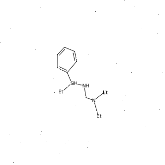 CCN(CC)CN[SiH](CC)c1ccccc1